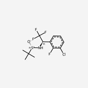 CC(C)(C)[S@+]([O-])N[C@H](c1cccc(Cl)c1F)C(F)(F)F